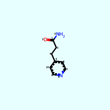 NC(=O)CCc1ccncc1